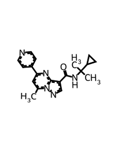 Cc1cc(-c2ccncc2)nc2c(C(=O)NC(C)(C)C3CC3)cnn12